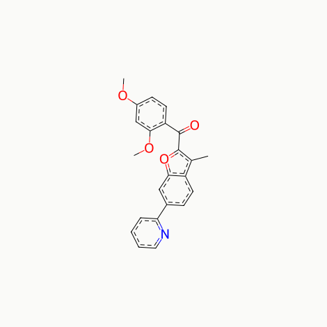 COc1ccc(C(=O)c2oc3cc(-c4ccccn4)ccc3c2C)c(OC)c1